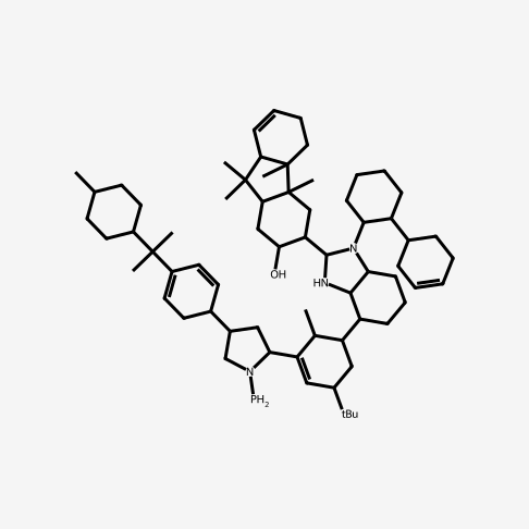 CC1CCC(C(C)(C)C2=CCC(C3CC(C4=CC(C(C)(C)C)CC(C5CCCC6C5NC(C5CC7(C)C(CC5O)C(C)(C)C5C=CCCC57C)N6C5CCCCC5C5CC=CCC5)C4C)N(P)C3)C=C2)CC1